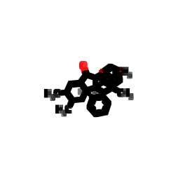 CC1=C(C)C[C@@]2(c3ccccc3)C(=C1)C(=O)C1=CC(C)C(C)C[C@@]12c1ccccc1